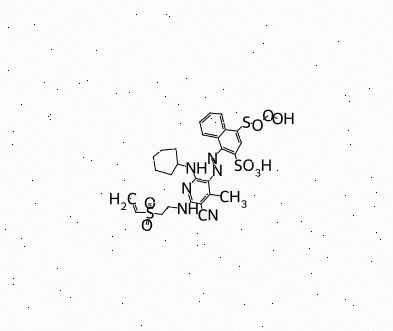 C=CS(=O)(=O)CCNc1nc(NC2CCCCC2)c(/N=N/c2c(S(=O)(=O)O)cc(SOOO)c3ccccc23)c(C)c1C#N